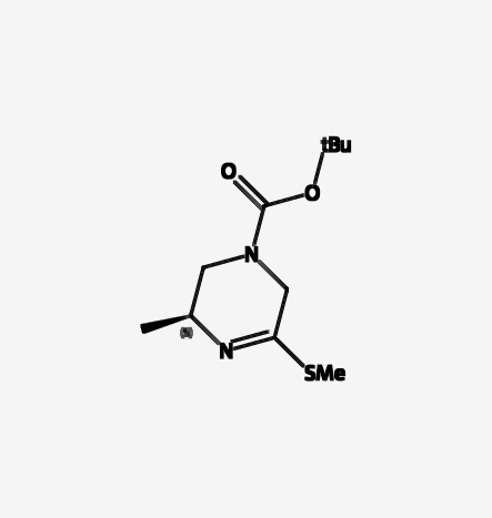 CSC1=N[C@@H](C)CN(C(=O)OC(C)(C)C)C1